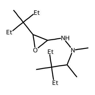 CCC(C)(CC)C1OC1NN(C)C(C)C(C)(CC)CC